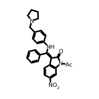 CC(=O)N1C(=O)/C(=C(\Nc2ccc(CN3CCCC3)cc2)c2ccccc2)c2ccc([N+](=O)[O-])cc21